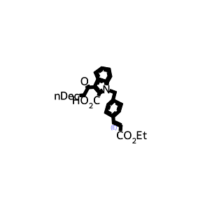 CCCCCCCCCCCC(=O)c1c(C(=O)O)n(Cc2ccc(/C=C/C(=O)OCC)cc2)c2ccccc12